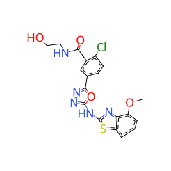 COc1cccc2sc(Nc3nnc(-c4ccc(Cl)c(C(=O)NCCO)c4)o3)nc12